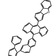 c1ccc(-c2ccccc2-c2ccc3ccc(-c4c5ccccc5c(-c5ccc6c(c5)oc5ccccc56)c5ccccc45)cc3c2)cc1